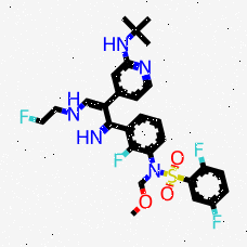 COCN(c1cccc(C(=N)/C(=C\NCCF)c2ccnc(NC(C)(C)C)c2)c1F)S(=O)(=O)c1cc(F)ccc1F